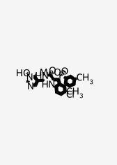 COP(=O)(c1cc(C)cc(C)c1)c1c(C(=O)NCc2cnc[n+](O)c2)[nH]c2ccc(Cl)cc12